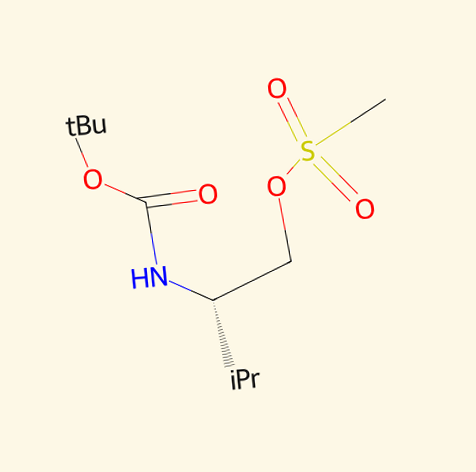 CC(C)[C@@H](COS(C)(=O)=O)NC(=O)OC(C)(C)C